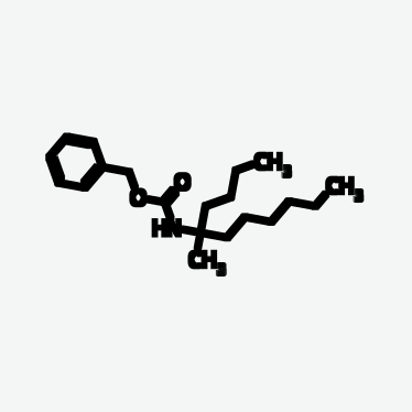 CCCCCCC(C)(CCCC)NC(=O)OCc1ccccc1